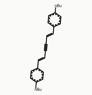 CCCCc1ccc(/C=C/C#C/C=C/c2ccc(CCCC)cc2)cc1